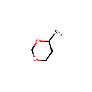 [SiH3]C1CCOCO1